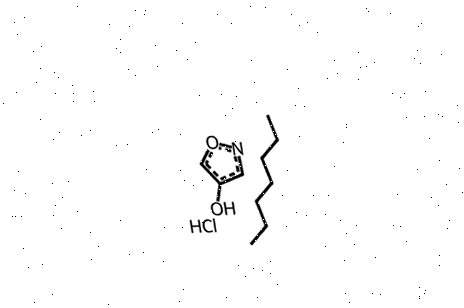 CCCCCCC.Cl.Oc1cnoc1